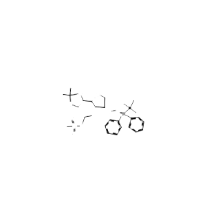 CC1(C)OC[C@H]([C@H]2OC[C@H](OO[Si](c3ccccc3)(c3ccccc3)C(C)(C)C)[C@@H]2CCOS(C)(=O)=O)O1